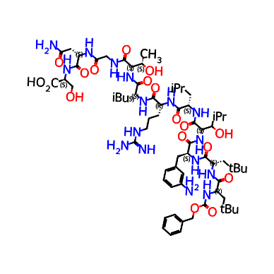 CC[C@H](C)[C@H](NC(=O)[C@@H](CCCNC(=N)N)NC(=O)[C@H](CC(C)C)NC(=O)[C@@H](NC(=O)[C@H](Cc1cccc(N)c1)NC(=O)[C@H](CC(C)(C)C)NC(=O)[C@@H](CC(C)(C)C)NC(=O)OCc1ccccc1)C(O)C(C)C)C(=O)N[C@H](C(=O)NCC(=O)N[C@@H](CC(N)=O)C(=O)N[C@@H](CO)C(=O)O)[C@H](C)O